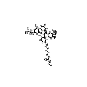 CCOC(=O)CCCCCCOc1ccc(C[C@@](NC(=O)c2ccc(F)c(C(F)(F)F)c2)(c2ccc(F)cc2)c2cc(F)cc(OC(F)(F)C(F)F)c2)cc1